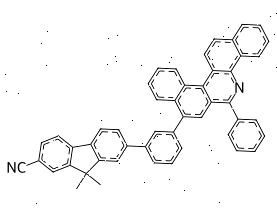 CC1(C)c2cc(C#N)ccc2-c2ccc(-c3cccc(-c4cc5c(-c6ccccc6)nc6c7ccccc7ccc6c5c5ccccc45)c3)cc21